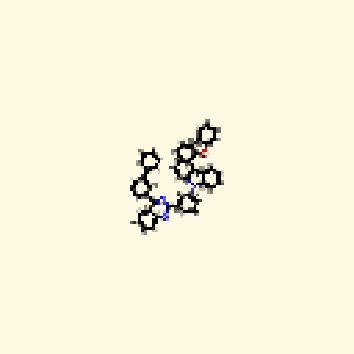 c1ccc(-c2cccc(-c3nc(-c4cccc(-n5c6ccccc6c6c7c(ccc8c9ccccc9oc87)ccc65)c4)nc4ccccc34)c2)cc1